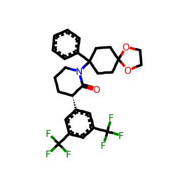 O=C1[C@H](c2cc(C(F)(F)F)cc(C(F)(F)F)c2)CCCN1C1(c2ccccc2)CCC2(CC1)OCCO2